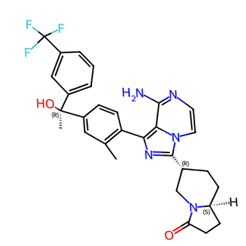 Cc1cc([C@@](C)(O)c2cccc(C(F)(F)F)c2)ccc1-c1nc([C@@H]2CC[C@H]3CCC(=O)N3C2)n2ccnc(N)c12